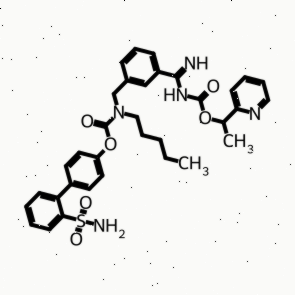 CCCCCN(Cc1cccc(C(=N)NC(=O)OC(C)c2ccccn2)c1)C(=O)Oc1ccc(-c2ccccc2S(N)(=O)=O)cc1